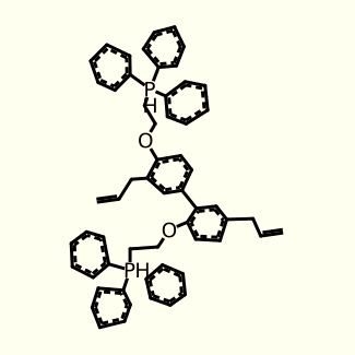 C=CCc1ccc(OCC[PH](c2ccccc2)(c2ccccc2)c2ccccc2)c(-c2ccc(OCC[PH](c3ccccc3)(c3ccccc3)c3ccccc3)c(CC=C)c2)c1